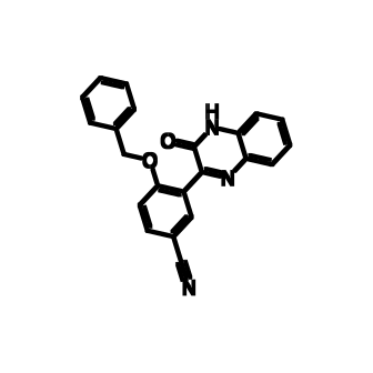 N#Cc1ccc(OCc2ccccc2)c(-c2nc3ccccc3[nH]c2=O)c1